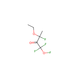 CCOC(C)(F)C(=O)C(F)(F)OF